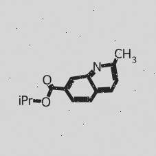 Cc1ccc2ccc(C(=O)OC(C)C)cc2n1